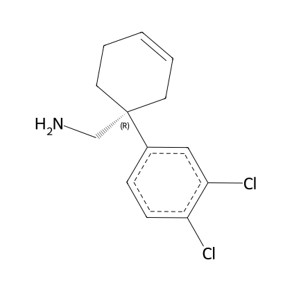 NC[C@@]1(c2ccc(Cl)c(Cl)c2)CC=CCC1